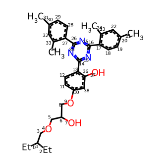 CCC(CC)COCC(O)COc1ccc(-c2nc(-c3ccc(C)cc3C)nc(-c3ccc(C)cc3C)n2)c(O)c1